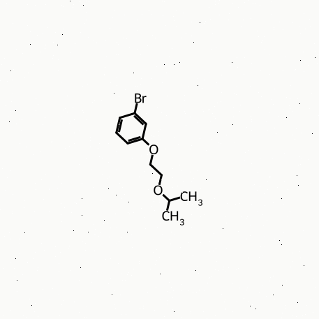 CC(C)OCCOc1cccc(Br)c1